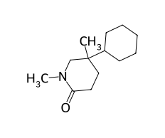 CN1CC(C)(C2CCCCC2)CCC1=O